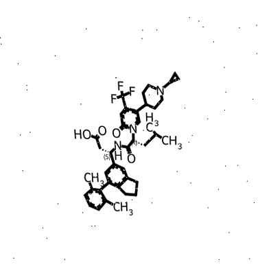 Cc1cccc(C)c1-c1cc([C@H](CC(=O)O)NC(=O)[C@@H](CC(C)C)n2cc(C3CCN(C4CC4)CC3)c(C(F)(F)F)cc2=O)cc2c1CCC2